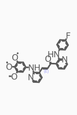 COc1cc(Nc2ncccc2/C=C/C(=O)c2cccnc2Nc2ccc(F)cc2)cc(OC)c1OC